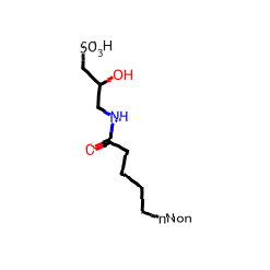 CCCCCCCCCCCCCC(=O)NCC(O)CS(=O)(=O)O